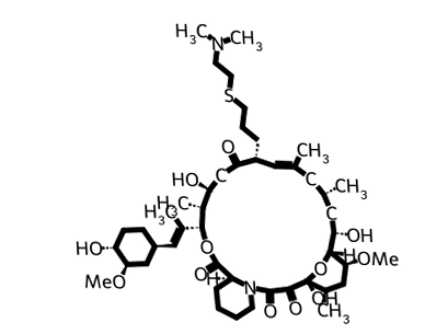 CO[C@H]1C[C@@H](C)[C@@]2(O)O[C@@H]1[C@@H](O)C[C@@H](C)C/C(C)=C/[C@@H](CCCSCCN(C)C)C(=O)C[C@H](O)[C@@H](C)[C@@H](/C(C)=C/[C@@H]1CC[C@@H](O)[C@H](OC)C1)OC(=O)[C@@H]1CCCCN1C(=O)C2=O